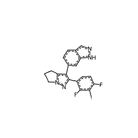 Cc1c(F)ccc(-c2nn3c(c2-c2ccc4cn[nH]c4c2)CCC3)c1F